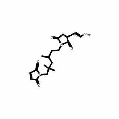 CCCCCCCCCC/C=C/C1CC(=O)N(CCC(C)CC(C)(C)CN2C(=O)C=CC2=O)C1=O